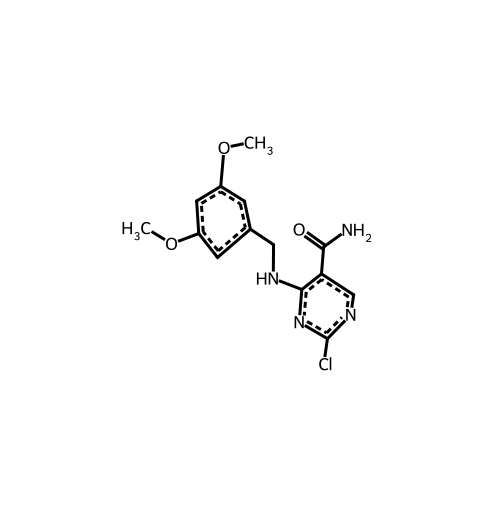 COc1cc(CNc2nc(Cl)ncc2C(N)=O)cc(OC)c1